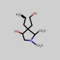 C=CCC1(CCO)C(O)CN(C(=O)O)C1C(=O)O